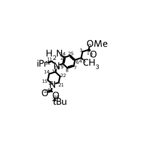 COC(=O)CC(C)c1ccc(N(CC(C)C)C2CCN(C(=O)OC(C)(C)C)CC2)c(N)c1